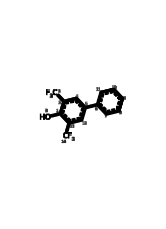 Oc1c(C(F)(F)F)cc(-c2ccccc2)cc1C(F)(F)F